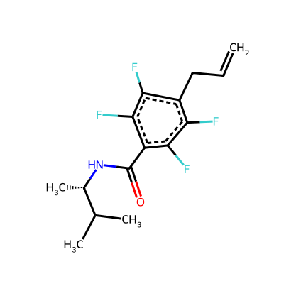 C=CCc1c(F)c(F)c(C(=O)N[C@@H](C)C(C)C)c(F)c1F